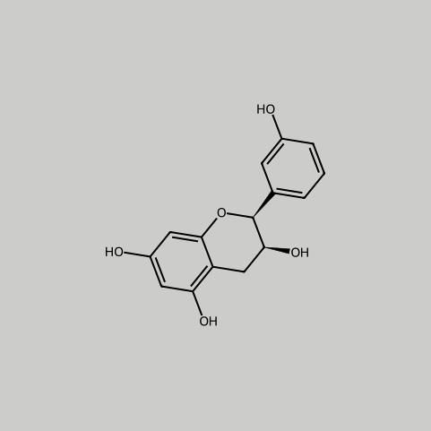 Oc1cccc([C@@H]2Oc3cc(O)cc(O)c3C[C@@H]2O)c1